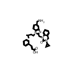 CC(C)CCn1c(CN2C(=O)N(C3CC3)Cc3ccccc32)nc2cc(CN)ccc21.O=C(O)/C=C/c1ccccc1